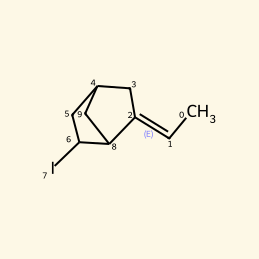 C/C=C1\CC2CC(I)C1C2